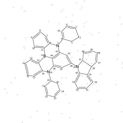 C1=CCCC(N2c3ccccc3B3c4ccccc4N(C4C=CC=CC4)c4cc(N5c6ccccc6C6C=CC=CC65)cc2c43)=C1